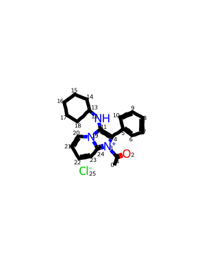 CC(=O)[n+]1c(-c2ccccc2)c(NC2CCCCC2)n2ccccc21.[Cl-]